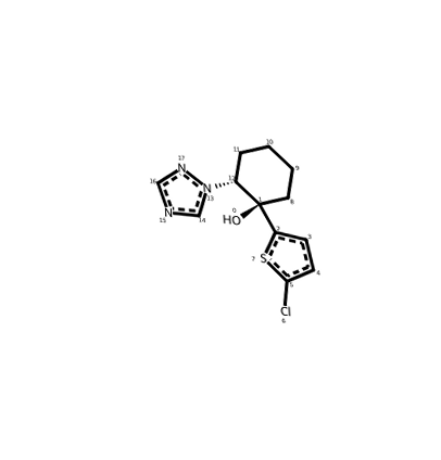 O[C@]1(c2ccc(Cl)s2)CCCC[C@H]1n1cncn1